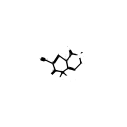 B[C@@]12C=C(C#N)C(=O)C(C)(C)C1=CCN(C)C2=N